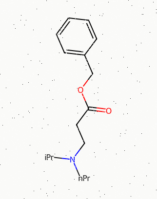 CCCN(CCC(=O)OCc1ccccc1)C(C)C